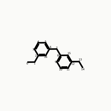 CCc1cccc(Cc2cccc(CC)c2)c1